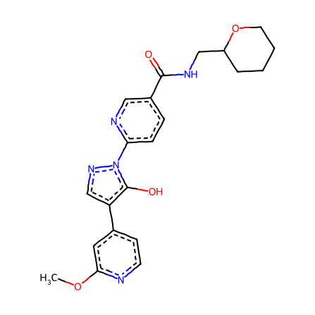 COc1cc(-c2cnn(-c3ccc(C(=O)NCC4CCCCO4)cn3)c2O)ccn1